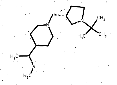 CSC(C)C1CCN(C[C@@H]2CCN(C(C)(C)C)C2)CC1